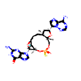 Nc1nc2c(ncn2[C@@H]2OC3CC[C@H]4C[C@H](c5cnc6c(N)ncnn56)O[C@@H]4COP(=O)(S)O[C@@H]2[C@@H]3F)c(=O)[nH]1